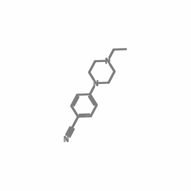 CCN1CCN(c2ccc(C#N)cc2)CC1